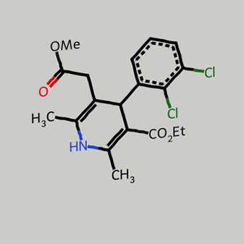 CCOC(=O)C1=C(C)NC(C)=C(CC(=O)OC)C1c1cccc(Cl)c1Cl